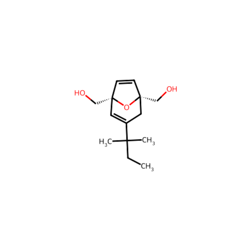 CCC(C)(C)C1=C[C@@]2(CO)C=C[C@@](CO)(C1)O2